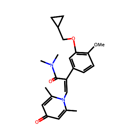 COc1ccc(/C(=C/n2c(C)cc(=O)cc2C)C(=O)N(C)C)cc1OCC1CC1